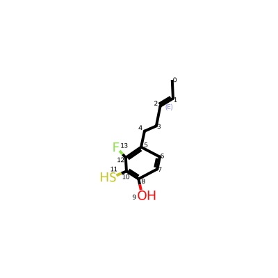 C/C=C/CCc1ccc(O)c(S)c1F